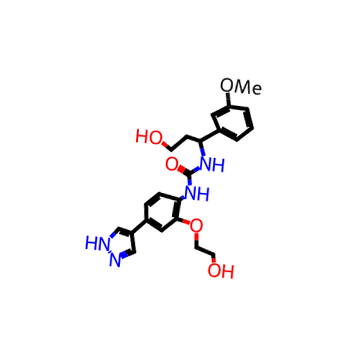 COc1cccc(C(CCO)NC(=O)Nc2ccc(-c3cn[nH]c3)cc2OCCO)c1